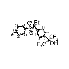 CCN(c1ccc(C(O)(C(F)(F)F)C(F)(F)F)cc1)S(=O)(=O)c1ccc(C)cc1